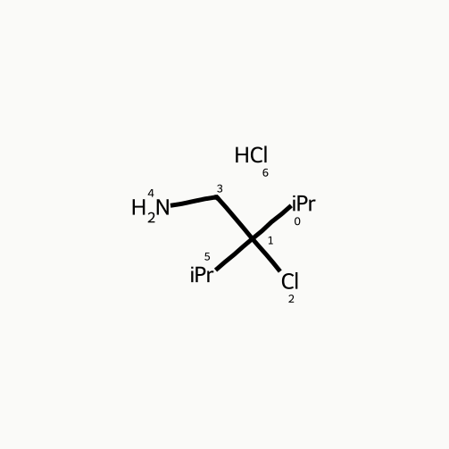 CC(C)C(Cl)(CN)C(C)C.Cl